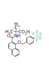 CC(C)(NC(=O)c1ccc2ccccc2c1OCc1ccc(S(F)(F)(F)(F)F)cc1)C(=O)O